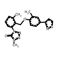 Cc1cc(-c2ccsn2)ccc1OCc1c(C)cccc1-n1nnn(C)c1=O